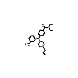 C=CCN1CCN(C(c2ccc(C(=O)N(CC)CC)cc2)c2cccc(O)c2)CC1